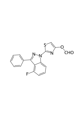 O=COc1csc(-n2nc(-c3ccccc3)c3c(F)cccc32)n1